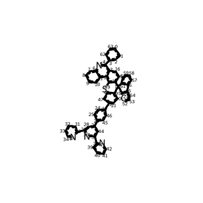 c1ccc(-c2nc3ccccc3c3c4c(ccc23)C2(c3ccc(-c5ccc(-c6cc(-c7ccccn7)nc(-c7ccccn7)c6)cc5)cc3S4)c3ccccc3-c3ccccc32)cc1